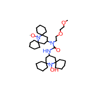 COCCOCCN(C(=O)NC1CC2(CCCCC2)N(O)C2(CCCCC2)C1)C1CC2(CCCCC2)N([O])C2(CCCCC2)C1